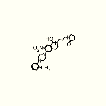 Cc1ccccc1N1CCN(c2cc3c(cc2[N+](=O)[O-])C(O)N(CCCN2CCCC2=O)CC3)CC1